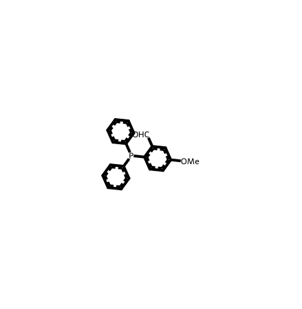 COc1ccc(P(c2ccccc2)c2ccccc2)c(C=O)c1